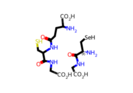 NC(CCC(=O)NC(CS)C(=O)NCC(=O)O)C(=O)O.N[C@@H](C[SeH])C(=O)NCC(=O)O